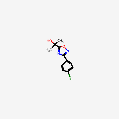 CC(C)(O)c1nc(-c2ccc(Br)cc2)no1